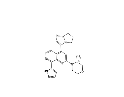 C[C@@H]1COCCN1c1cc(-c2cnc3n2CCC3)c2ccnc(-c3ccn[nH]3)c2n1